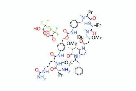 CC[C@H](C)[C@@H]([C@@H](CC(=O)N1CCC[C@H]1[C@H](OC)[C@@H](C)C(=O)N[C@@H](Cc1ccccc1)C(=O)O)OC)N(C)C(=O)[C@@H](NC(=O)[C@H](C(C)C)N(C)Cc1cccc(NC(=O)OCc2ccc(NC(=O)[C@H](CCCNC(N)=O)NC(=O)[C@@H](N)C(C)C)cc2)c1)C(C)C.O=C(O)C(F)(F)F.O=C(O)C(F)(F)F